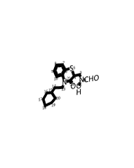 O=CN(O)CC1Sc2ccccc2N(CCC2CCCCC2)C1=O